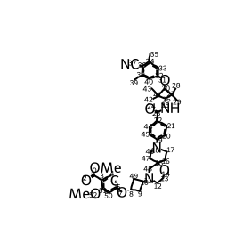 COC(=O)c1ccc(O[C@H]2C[C@H](N3CCOC4(CCN(c5ccc(C(=O)N[C@H]6C(C)(C)[C@H](Oc7cc(C)c(C#N)c(C)c7)C6(C)C)cc5)CC4)C3)C2)cc1OC